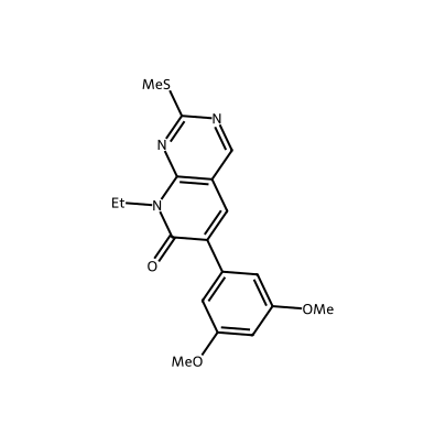 CCn1c(=O)c(-c2cc(OC)cc(OC)c2)cc2cnc(SC)nc21